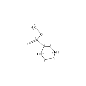 COC(=O)C1CNCCN1